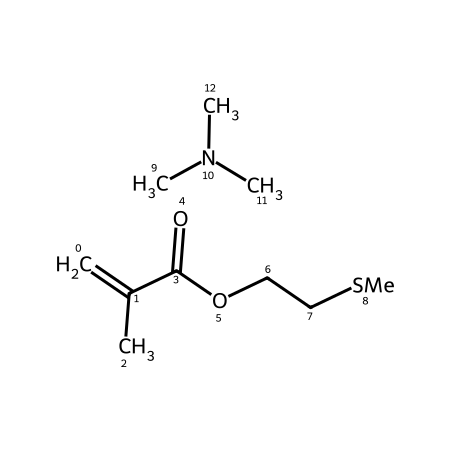 C=C(C)C(=O)OCCSC.CN(C)C